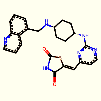 O=C1NC(=O)C(=Cc2ccnc(N[C@H]3CC[C@H](NCc4cccc5ncccc45)CC3)n2)S1